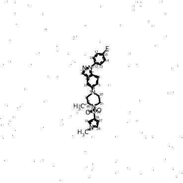 C[C@@H]1CN(c2ccc3c(cnn3-c3ccc(F)cc3)c2)CCN1S(=O)(=O)c1ccn(C)c1